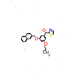 C=CCOc1cc(OCc2ccc3ccccc3c2)cc(C(=O)c2nccs2)c1